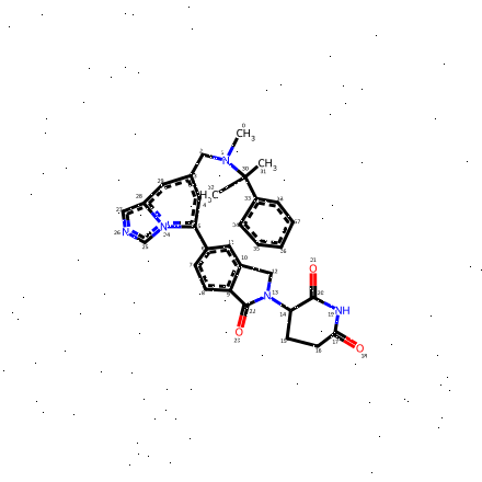 CN(Cc1cc(-c2ccc3c(c2)CN(C2CCC(=O)NC2=O)C3=O)n2cncc2c1)C(C)(C)c1ccccc1